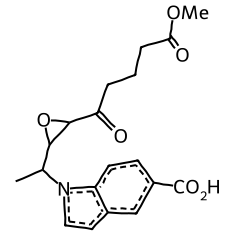 COC(=O)CCCC(=O)C1OC1C(C)n1ccc2cc(C(=O)O)ccc21